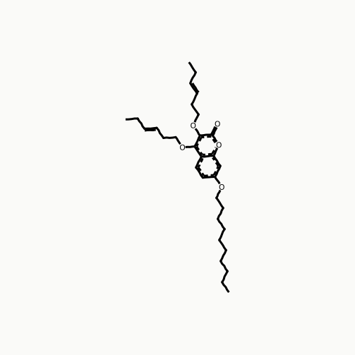 CCC=CCCOc1c(OCCC=CCC)c2ccc(OCCCCCCCCCC)cc2oc1=O